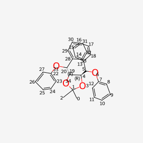 CC1(C)O[C@H](C(Oc2ccccc2)c2ccccc2)[C@@H](C(Oc2ccccc2)c2ccccc2)O1